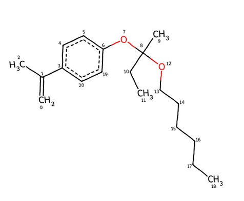 C=C(C)c1ccc(OC(C)(CC)OCCCCCC)cc1